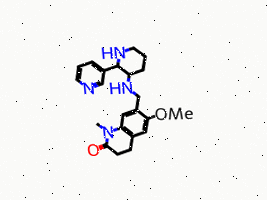 COc1cc2c(cc1CNC1CCCNC1c1cccnc1)N(C)C(=O)CC2